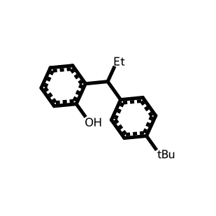 CCC(c1ccc(C(C)(C)C)cc1)c1ccccc1O